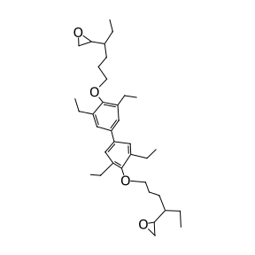 CCc1cc(-c2cc(CC)c(OCCCC(CC)C3CO3)c(CC)c2)cc(CC)c1OCCCC(CC)C1CO1